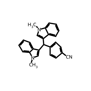 Cn1cc(C(c2ccc(C#N)cc2)c2cn(C)c3ccccc23)c2ccccc21